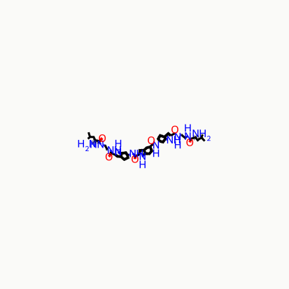 CC(C)C[C@H](N)C(=O)NCCNC(=O)c1cc2ccc(NC(=O)c3ccc4[nH]c(C(=O)Nc5ccc6cc(C(=O)NCCNC(=O)[C@@H](N)CC(C)C)[nH]c6c5)cc4c3)cc2[nH]1